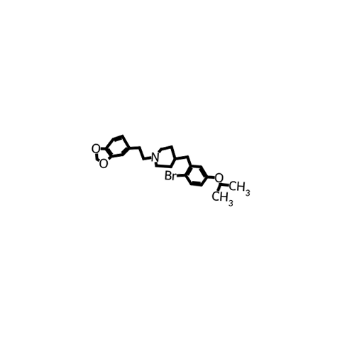 CC(C)Oc1ccc(Br)c(CC2CCN(CCc3ccc4c(c3)OCO4)CC2)c1